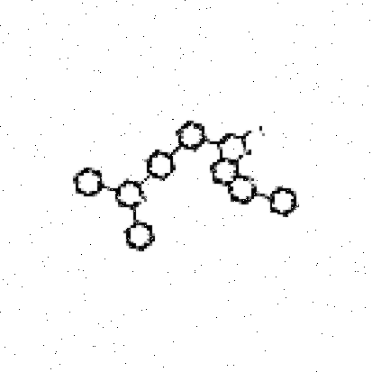 CC1C=C(c2cccc(-c3ccc(-c4cc(-c5ccccc5)cc(-c5ccccc5)n4)cc3)c2)c2ccc3ccc(-c4ccccc4)nc3c2N1